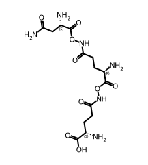 NC(=O)C[C@H](N)C(=O)ONC(=O)CC[C@@H](N)C(=O)ONC(=O)CC[C@H](N)C(=O)O